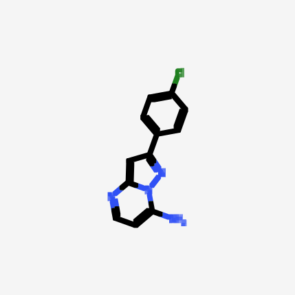 Nc1ccnc2cc(-c3ccc(Cl)cc3)nn12